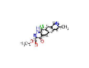 CCOC(=O)c1n[nH]c2c(Cl)c(Cc3ccc(C)nc3)ccc2c1=O